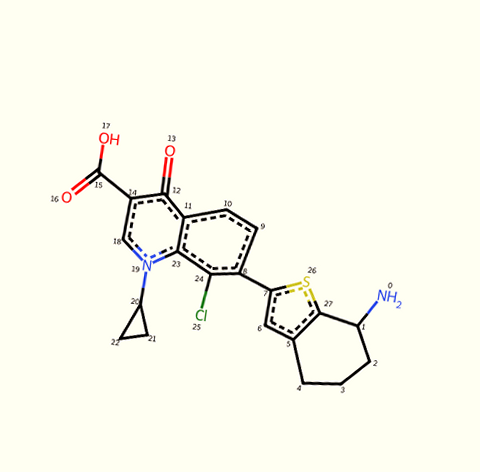 NC1CCCc2cc(-c3ccc4c(=O)c(C(=O)O)cn(C5CC5)c4c3Cl)sc21